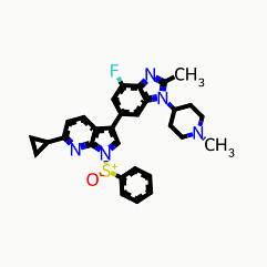 Cc1nc2c(F)cc(-c3cn([S+]([O-])c4ccccc4)c4nc(C5CC5)ccc34)cc2n1C1CCN(C)CC1